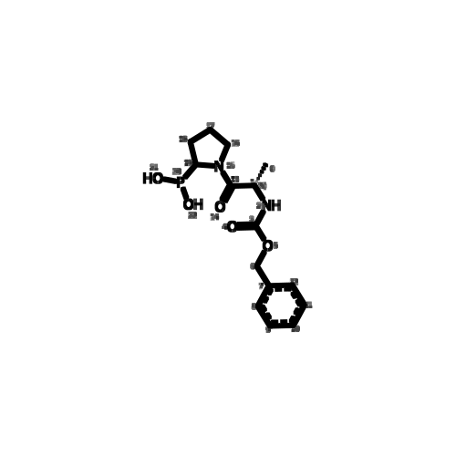 C[C@H](NC(=O)OCc1ccccc1)C(=O)N1CCCC1P(O)O